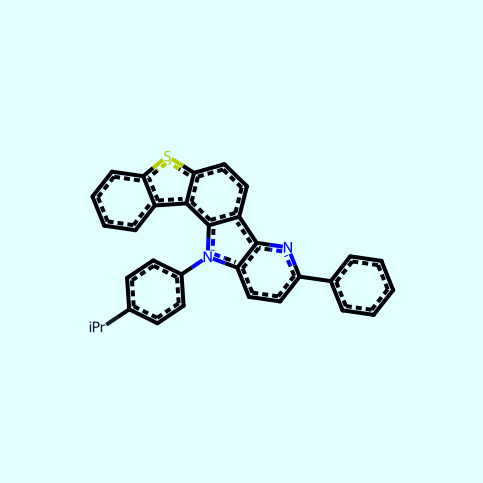 CC(C)c1ccc(-n2c3ccc(-c4ccccc4)nc3c3ccc4sc5ccccc5c4c32)cc1